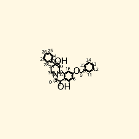 C[C@@H](C(O)c1ccc(OCc2ccccc2)cc1)N1CCC(O)(c2ccccc2)CC1